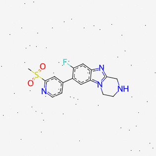 CS(=O)(=O)c1cc(-c2cc3c(cc2F)nc2n3CCNC2)ccn1